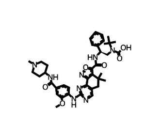 COc1cc(C(=O)NC2CCN(C)CC2)ccc1Nc1ncc2c(n1)-c1noc(C(=O)N[C@H](CN(C(=O)O)C(C)(C)C)c3ccccc3)c1C(C)(C)C2